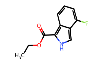 CCOC(=O)c1[nH]cc2c(F)cccc12